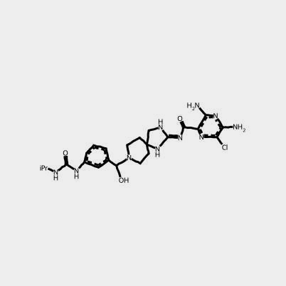 CC(C)NC(=O)Nc1cccc(C(O)N2CCC3(CC2)CN/C(=N\C(=O)c2nc(Cl)c(N)nc2N)N3)c1